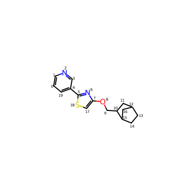 c1cncc(-c2nc(OCC3CC4CCC3C4)cs2)c1